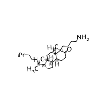 CC(C)CCC[C@@H](C)[C@H]1CC[C@H]2[C@@H]3CCC(=O)[C@](C)(CCCCN)[C@H]3CC[C@]12C